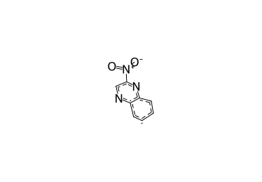 O=[N+]([O-])c1cnc2c[c]ccc2n1